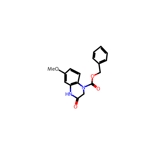 COc1ccc2c(c1)NC(=O)CN2C(=O)OCc1ccccc1